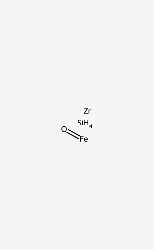 [O]=[Fe].[SiH4].[Zr]